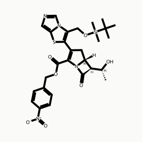 C[C@@H](O)[C@H]1C(=O)N2C(C(=O)OCc3ccc([N+](=O)[O-])cc3)=C(c3sc4cncn4c3CO[Si](C)(C)C(C)(C)C)C[C@H]12